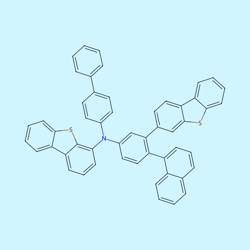 c1ccc(-c2ccc(N(c3ccc(-c4cccc5ccccc45)c(-c4ccc5c(c4)sc4ccccc45)c3)c3cccc4c3sc3ccccc34)cc2)cc1